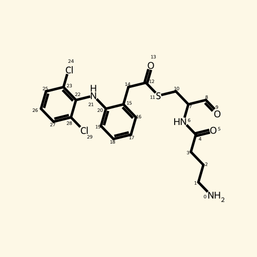 NCCCC(=O)NC(C=O)CSC(=O)Cc1ccccc1Nc1c(Cl)cccc1Cl